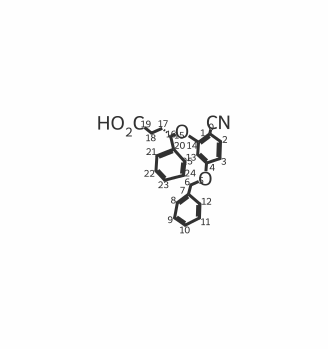 N#Cc1ccc(OCc2ccccc2)cc1O[C@@H](CCC(=O)O)c1ccccc1